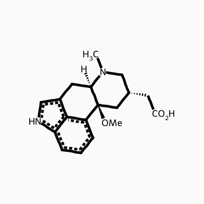 CO[C@]12C[C@@H](CC(=O)O)CN(C)[C@@H]1Cc1c[nH]c3cccc2c13